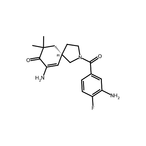 CC1(C)C[C@]2(C=C(N)C1=O)CCN(C(=O)c1ccc(F)c(N)c1)C2